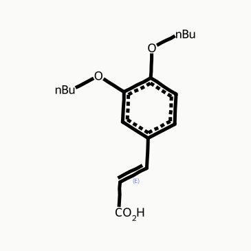 CCCCOc1ccc(/C=C/C(=O)O)cc1OCCCC